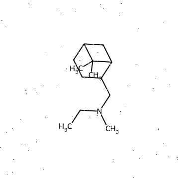 CCN(C)CC1CCC2CC1C2(C)C